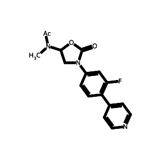 CC(=O)N(C)C1CN(c2ccc(-c3ccncc3)c(F)c2)C(=O)O1